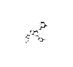 CNC(=O)[C@@H]1OC(n2cnc3c(NCc4cc(C)ccn4)nc(-c4cncc(C)c4)nc32)C(O)C1O